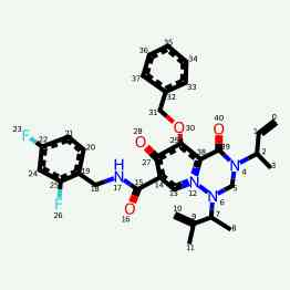 C=CC(C)N1CN(C(C)C(=C)C)n2cc(C(=O)NCc3ccc(F)cc3F)c(=O)c(OCc3ccccc3)c2C1=O